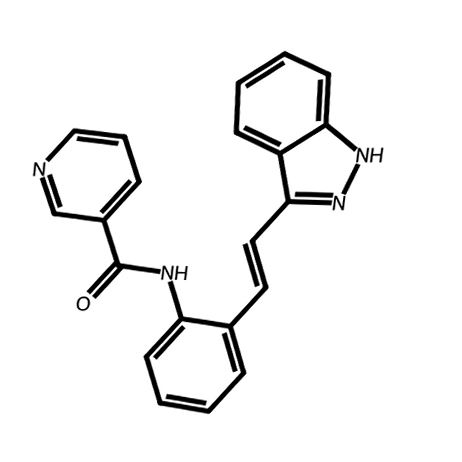 O=C(Nc1ccccc1C=Cc1n[nH]c2ccccc12)c1cccnc1